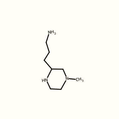 CN1CCNC(CCCN)C1